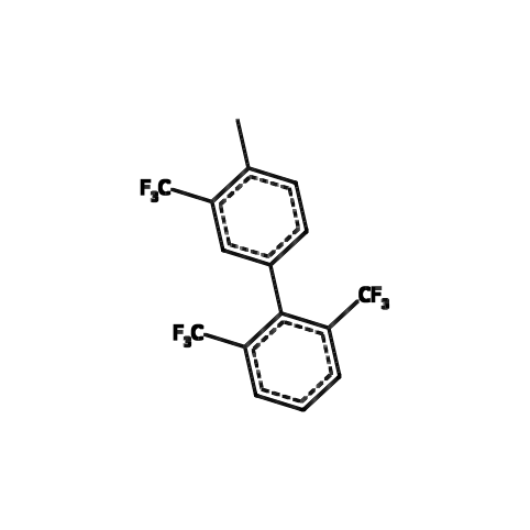 Cc1ccc(-c2c(C(F)(F)F)cccc2C(F)(F)F)cc1C(F)(F)F